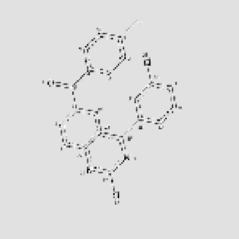 Cc1ccc(C(=O)c2ccc3nc(Cl)nc(-c4cccc(Cl)c4)c3c2)cc1